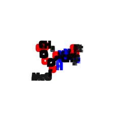 C=C(/N=C\N(N)CP(=O)(OCC)OCC)NC(=O)c1cc(OCCOC)cc(Oc2ccc(S(C)(=O)=O)cc2)c1